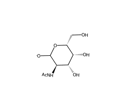 CC(=O)N[C@H]1C([O])O[C@H](CO)[C@H](O)[C@@H]1O